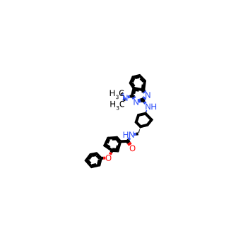 CN(C)c1nc(N[C@H]2CC[C@@H](CNC(=O)c3cccc(Oc4ccccc4)c3)CC2)nc2ccccc12